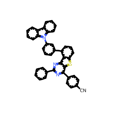 N#Cc1ccc(-c2nc(-c3ccccc3)nc3c2sc2cccc(-c4cccc(-n5c6ccccc6c6ccccc65)c4)c23)cc1